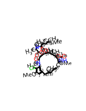 COc1cc2cc(c1Cl)N(C)C(=O)CC(OC(=O)[C@H](C)N(C)C(=O)CCC(C)(C)SC)[C@]1(C)O[C@H]1[C@H](C)[C@@H]1C[C@](OC)(C/C=C/C=C(\C)C2)NC(=O)O1